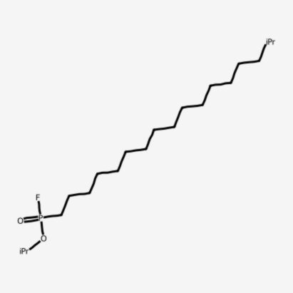 CC(C)CCCCCCCCCCCCCCCP(=O)(F)OC(C)C